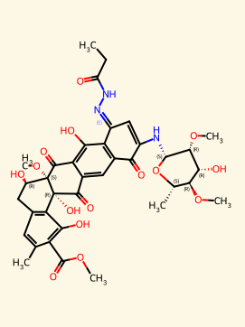 CCC(=O)N/N=C1\C=C(N[C@H]2O[C@@H](C)[C@H](OC)[C@@H](O)[C@H]2OC)C(=O)c2cc3c(c(O)c21)C(=O)[C@]1(OC)[C@H](O)Cc2cc(C)c(C(=O)OC)c(O)c2[C@]1(O)C3=O